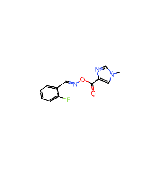 Cn1cnc(C(=O)ON=Cc2ccccc2F)c1